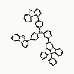 c1ccc(C2(c3ccccc3)c3ccccc3-c3cc(-c4cccc(N(c5ccc(-c6cccc7c6oc6ccccc67)cc5)c5ccc(-c6cccc7sc8ccccc8c67)cc5)c4)ccc32)cc1